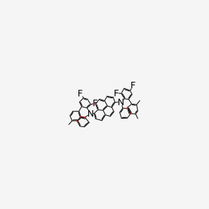 Cc1ccc(-c2cc(F)cc(F)c2N(c2ccccc2)c2ccc3ccc4c(N(c5ccccc5)c5c(F)cc(F)cc5-c5ccc(C)cc5C)ccc5ccc2c3c54)c(C)c1